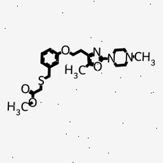 COC(=O)CSCc1cccc(OCCc2nc(N3CCN(C)CC3)oc2C)c1